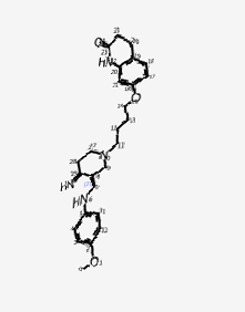 COc1ccc(N/C=C2/CN(CCCCOc3ccc4c(c3)NC(=O)CC4)CCC2=N)cc1